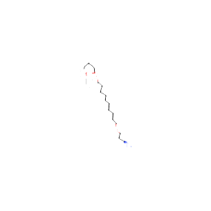 C[Si]1(C)CCCC(O[SiH2]CCCCCCCCCOCCC#N)O1